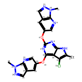 CCc1[nH]c2nc(Oc3cnc4c(cnn4C)c3)nc(Oc3cnc4c(cnn4C)c3)c2c1Cl